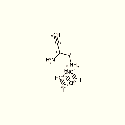 C#C.C#C.C#C.C#CC(N)CN